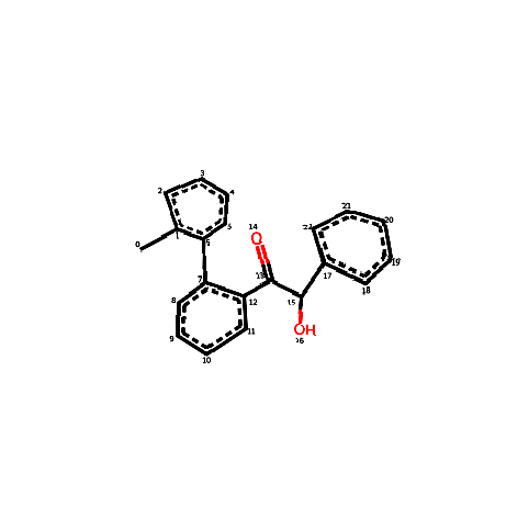 Cc1ccccc1-c1ccccc1C(=O)C(O)c1ccccc1